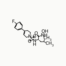 CC(C)C[C@@H](NS(=O)(=O)N1CC=C(c2ccc(F)cc2)CC1)C(=O)NO